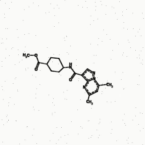 COC(=O)C1CCC(NC(=O)c2cnn3c(C)cc(C)nc23)CC1